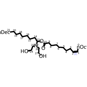 CCCCCCCC/C=C\CCCCCCCC(=O)OC(CCCCCCCCCCCCCCCCC)N(CCO)CCO